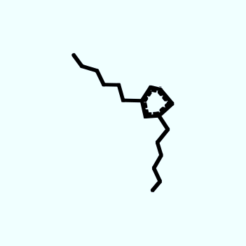 CCCCCCc1c[c]cc(CCCCCC)c1